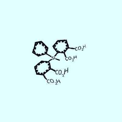 C[Si](c1ccccc1)(c1cccc(C(=O)O)c1C(=O)O)c1cccc(C(=O)O)c1C(=O)O